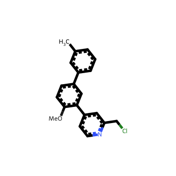 COc1ccc(-c2cccc(C)c2)cc1-c1ccnc(CCl)c1